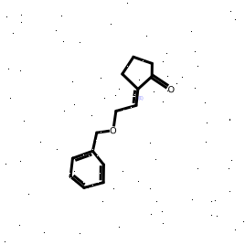 O=C1CCC/C1=C\COCc1ccccc1